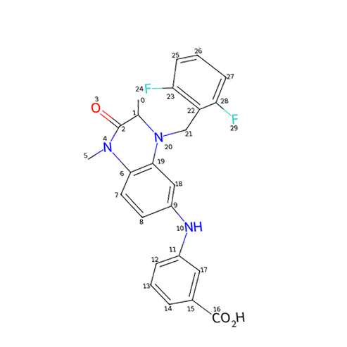 CC1C(=O)N(C)c2ccc(Nc3cccc(C(=O)O)c3)cc2N1Cc1c(F)cccc1F